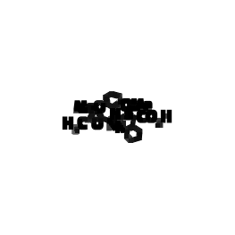 COc1cccc(OC)c1-n1c(SC(C(=O)O)c2ccccc2)nnc1-c1ccc(C)o1